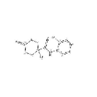 CC1(C(=O)Nc2ccccc2Br)CCC(=O)CC1